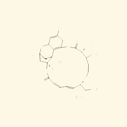 CC1=CC2O[C@@H]3C[C@H]4OC(=O)/C=C\C=C\[C@H]([C@@H](C)O)OCCC(C)[C@H](O)C(=O)OC(=C2[C@]4(C)C32CO2)C1